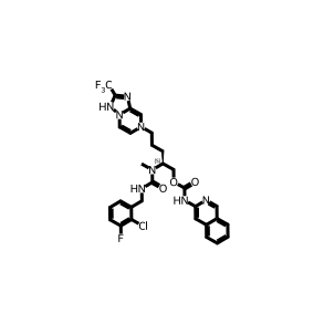 CN(C(=O)NCc1cccc(F)c1Cl)[C@@H](CCCN1C=CN2NC(C(F)(F)F)=NC2=C1)COC(=O)Nc1cc2ccccc2cn1